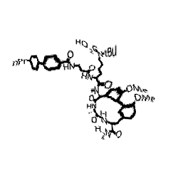 CCCc1ccc(-c2ccc(C(=O)NCCC(=O)NC(CCCCN(C(=O)O)C(C)(C)C)C(=O)N(C)[C@@H]3C(=O)N[C@@H](C)C(=O)N[C@H](C(N)=O)Cc4ccc(OC)c(c4)-c4cc3ccc4OC)cc2)cc1